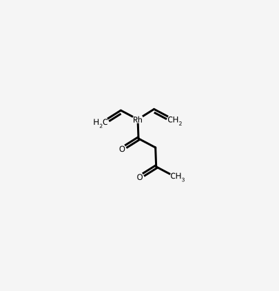 C=[CH][Rh]([CH]=C)[C](=O)CC(C)=O